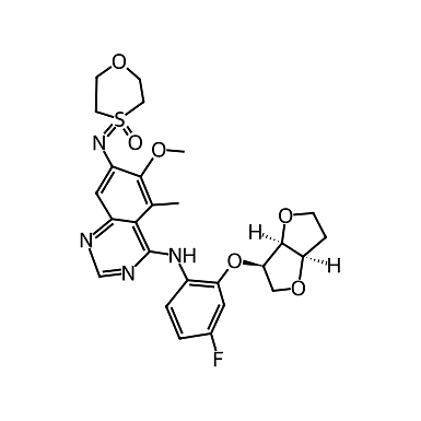 COc1c(N=S2(=O)CCOCC2)cc2ncnc(Nc3ccc(F)cc3O[C@@H]3CO[C@@H]4CCO[C@@H]43)c2c1C